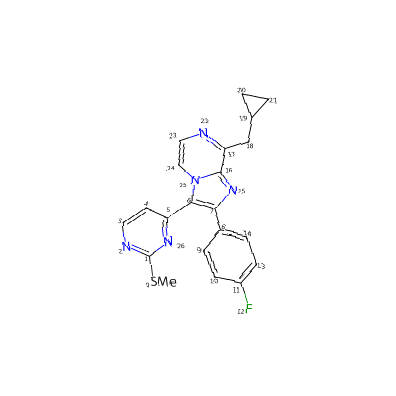 CSc1nccc(-c2c(-c3ccc(F)cc3)nc3c(CC4CC4)nccn23)n1